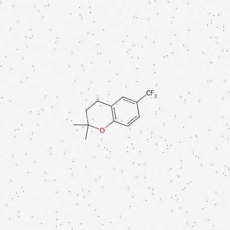 CC1(C)C[C]c2cc(C(F)(F)F)ccc2O1